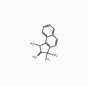 C=C1N(C)c2c(ccc3ccccc23)C1(C)C